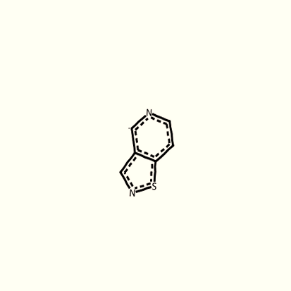 [c]1nccc2sncc12